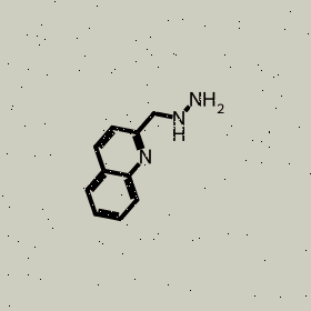 NNCc1ccc2ccccc2n1